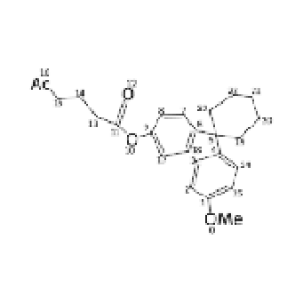 COc1ccc(C2(c3ccc(OC(=O)CCCC(C)=O)cc3)CCCCC2)cc1